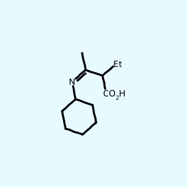 CCC(C(=O)O)C(C)=NC1CCCCC1